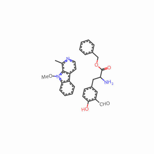 COn1c2ccccc2c2ccnc(C)c21.NC(Cc1ccc(O)c(C=O)c1)C(=O)OCc1ccccc1